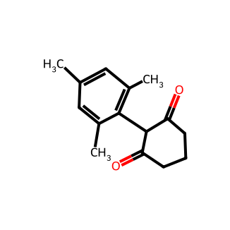 Cc1cc(C)c(C2C(=O)CCCC2=O)c(C)c1